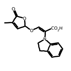 CC1=CC(O/C=C(/C(=O)O)N2CCc3ccccc32)OC1=O